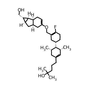 C[C@@H]1C=C(CCCC(C)(C)O)C[C@H](C)C1[C@H]1CCC(F)=C(COC2=CC[C@H]3[C@@H](C2)C[C@H]2[C@H](CO)[C@@H]32)C1